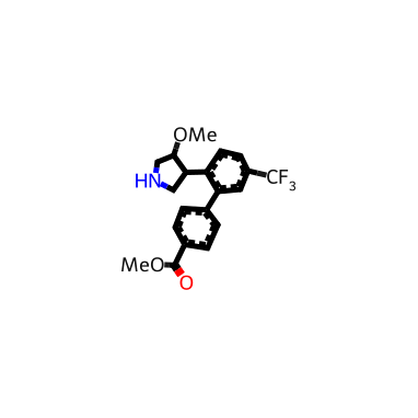 COC(=O)c1ccc(-c2cc(C(F)(F)F)ccc2C2CNCC2OC)cc1